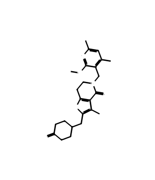 COc1nc(C)cc(C)c1CN1CCc2sc(CC3CCC(=O)CC3)c(C)c2C1=O